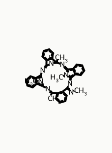 C/N=C1\N=c2\c3ccccc3/c(n2C)=N/C2(C)N/C(=N\c3c4ccccc4c(n3C)/N=C(\C)c3ccccc31)c1ccccc12